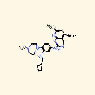 C#Cc1cc(OC)nc2nc(Nc3ccc(N4CCN(C)CC4)c(NCC4CCC4)c3)ncc12